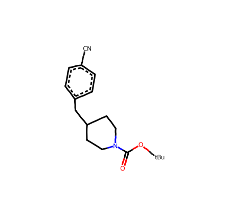 CC(C)(C)OC(=O)N1CCC(Cc2ccc(C#N)cc2)CC1